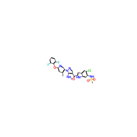 Cc1cc(Oc2c(F)cccc2F)ncc1-n1ncc(C(=O)c2cc3cc(Cl)c(NS(C)(=O)=O)cc3[nH]2)c1N